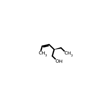 C/C=C\[C@@H](CC)CO